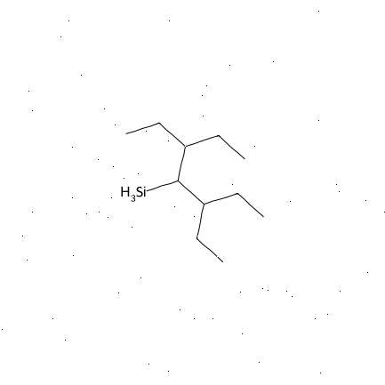 CCC(CC)C([SiH3])C(CC)CC